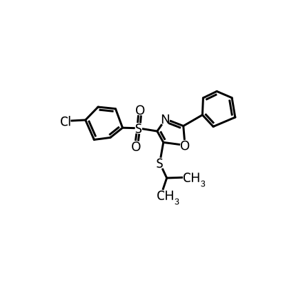 CC(C)Sc1oc(-c2ccccc2)nc1S(=O)(=O)c1ccc(Cl)cc1